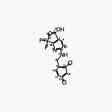 O=C(O)c1cnc(NCc2ccc(Cl)cc2Cl)nc1C(F)(F)F